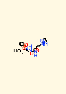 O=C(O)C(CNC(=O)C1CC(CCCNC2N=CCCN2)ON1)NS(=O)(=O)c1ccccc1